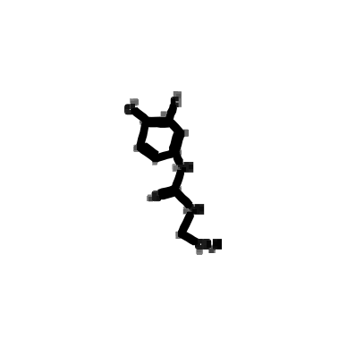 O=C(O)CNC(=O)Nc1ccc(Cl)c(Cl)c1